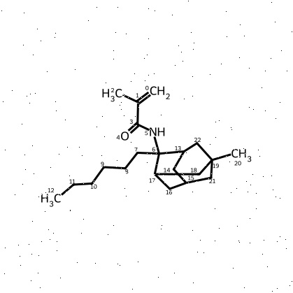 C=C(C)C(=O)NC1(CCCCCC)C2CC3CC1CC(C)(C3)C2